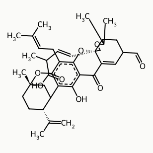 C=C(C)[C@@H]1CC[C@@]2(C)CC1c1c(O)c3c(c(CC=C(C)C)c1O2)O[C@]12C(=CC(C=O)CC1C(C)(C)O[C@@H]2/C=C/C(C)C(=O)O)C3=O